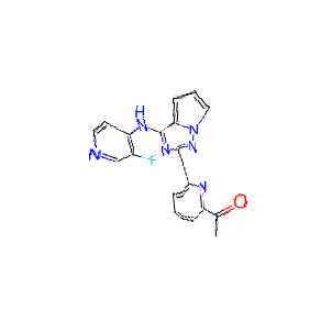 CC(=O)c1cccc(-c2nc(Nc3ccncc3F)c3cccn3n2)n1